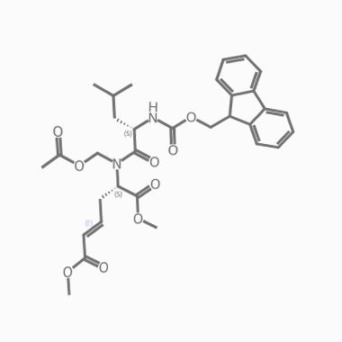 COC(=O)/C=C/C[C@@H](C(=O)OC)N(COC(C)=O)C(=O)[C@H](CC(C)C)NC(=O)OCC1c2ccccc2-c2ccccc21